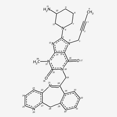 CC#CCn1c(N2CCCC(N)C2)nc2c1c(=O)n(CC1=Nc3cccnc3Cc3ccccc31)c(=O)n2C